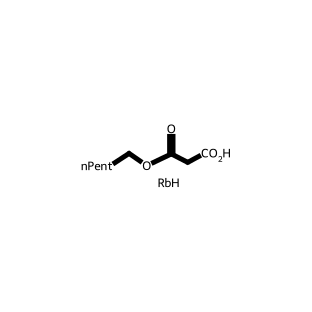 CCCCCCOC(=O)CC(=O)O.[RbH]